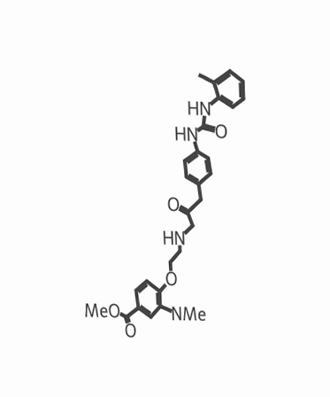 CNc1cc(C(=O)OC)ccc1OCCNCC(=O)Cc1ccc(NC(=O)Nc2ccccc2C)cc1